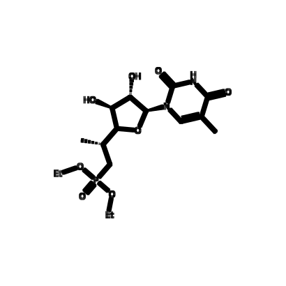 CCOP(=O)(C[C@H](C)C1O[C@H](n2cc(C)c(=O)[nH]c2=O)[C@@H](O)[C@@H]1O)OCC